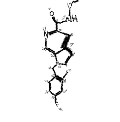 CONC(=O)c1cc2ccn(Cc3ccc(F)cc3F)c2cn1